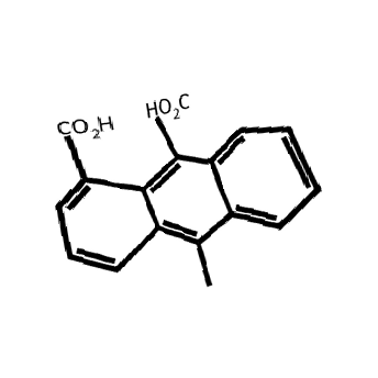 Cc1c2ccccc2c(C(=O)O)c2c(C(=O)O)cccc12